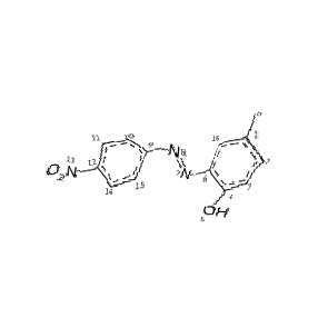 Cc1ccc(O)c(/N=N/c2ccc([N+](=O)[O-])cc2)c1